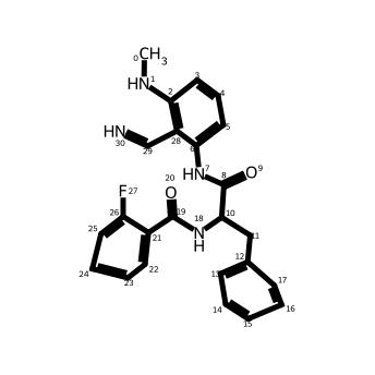 CNc1cccc(NC(=O)C(Cc2ccccc2)NC(=O)c2ccccc2F)c1C=N